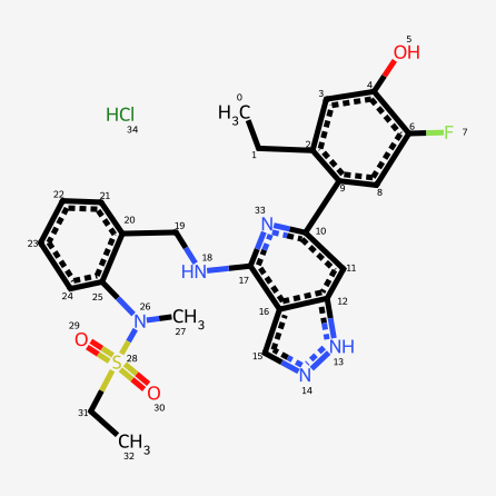 CCc1cc(O)c(F)cc1-c1cc2[nH]ncc2c(NCc2ccccc2N(C)S(=O)(=O)CC)n1.Cl